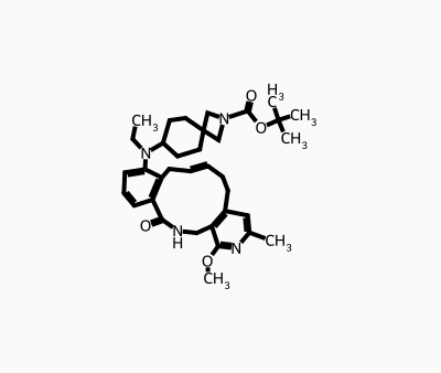 CCN(c1cccc2c1C/C=C/CCc1cc(C)nc(OC)c1CNC2=O)C1CCC2(CC1)CN(C(=O)OC(C)(C)C)C2